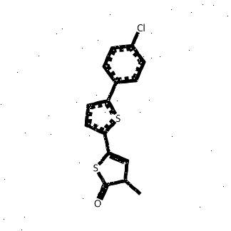 CC1C=C(c2ccc(-c3ccc(Cl)cc3)s2)SC1=O